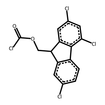 O=C(Cl)OCC1c2cc(Cl)ccc2-c2c(Cl)cc(Cl)cc21